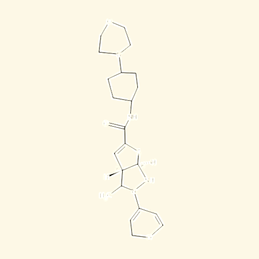 CC1[C@@H]2C=C(C(=O)NC3CCC(N4CCOCC4)CC3)S[C@H]2NN1C1=CCOC=C1